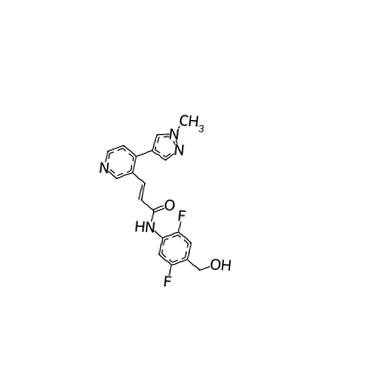 Cn1cc(-c2ccncc2C=CC(=O)Nc2cc(F)c(CO)cc2F)cn1